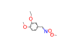 CCOc1cc(/C=N/OOC)ccc1OC